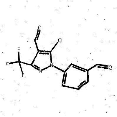 O=Cc1cccc(-n2nc(C(F)(F)F)c(C=O)c2Cl)c1